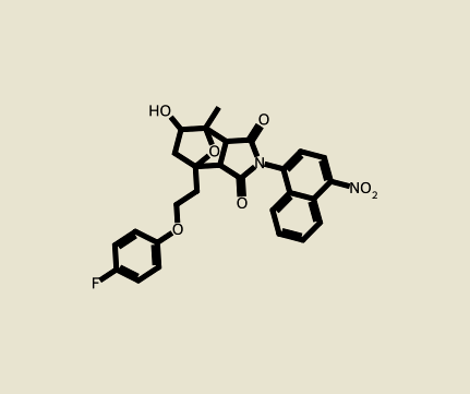 CC12OC(CCOc3ccc(F)cc3)(CC1O)C1C(=O)N(c3ccc([N+](=O)[O-])c4ccccc34)C(=O)C12